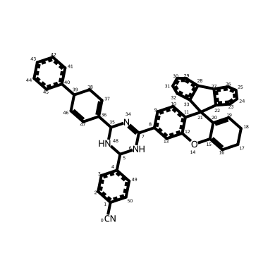 N#Cc1ccc(C2NC(c3ccc4c(c3)OC3=CCCC=C3C43c4ccccc4-c4ccccc43)=NC(C3=CCC(c4ccccc4)C=C3)N2)cc1